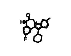 Cc1ccc2c(C3CCCCC3)c3n(c2c1)CC(=O)Nc1ccc(F)cc1-3